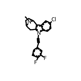 CN1C2CCC1c1c(n(C#Cc3ccc(F)c(F)c3)c3ccc(Cl)cc13)C2